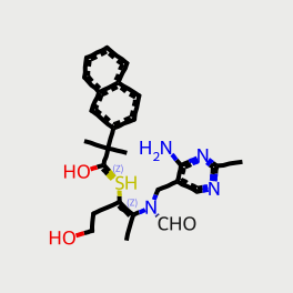 C/C(=C(CCO)/[SH]=C(\O)C(C)(C)c1ccc2ccccc2c1)N(C=O)Cc1cnc(C)nc1N